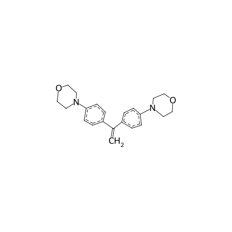 C=C(c1ccc(N2CCOCC2)cc1)c1ccc(N2CCOCC2)cc1